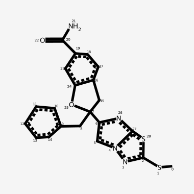 CSc1nn2cc(C3(Cc4ccccc4)Cc4ccc(C(N)=O)cc4O3)nc2s1